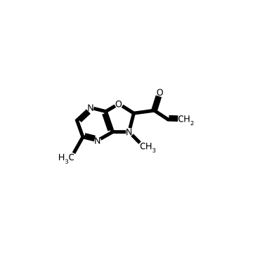 C=CC(=O)C1Oc2ncc(C)nc2N1C